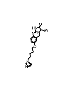 CC(C)C1C(=O)NC2=Nc3ccc(OCCCCCn4ccnc4)cc3CN21